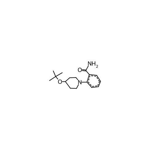 CC(C)(C)OC1CCN(c2ccccc2C(N)=O)CC1